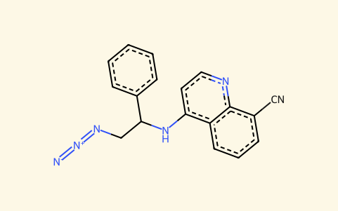 N#Cc1cccc2c(NC(CN=[N+]=[N-])c3ccccc3)ccnc12